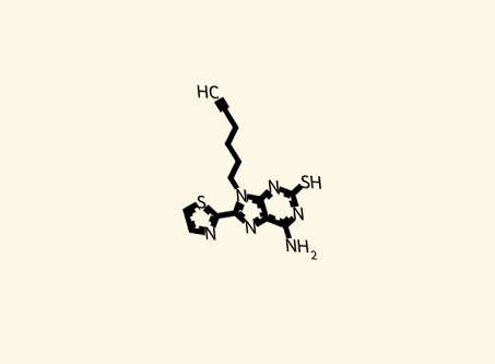 C#CCCCCn1c(-c2nccs2)nc2c(N)nc(S)nc21